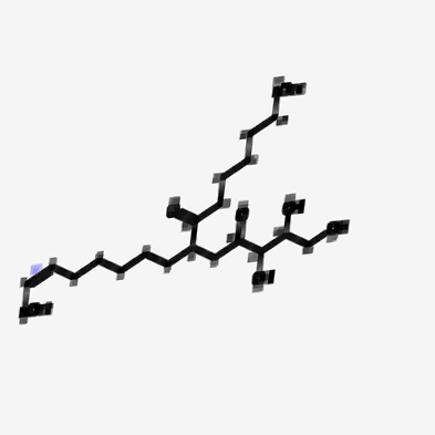 CCCCCCCC/C=C\CCCCCC(CC(=O)C(O)C(O)CO)C(=O)CCCCCCCCCCCCCCC